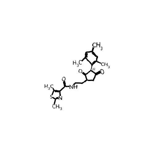 Cc1cc(C)c([C@H]2C(=O)CC(CCNC(=O)c3nc(C)sc3C)C2=O)c(C)c1